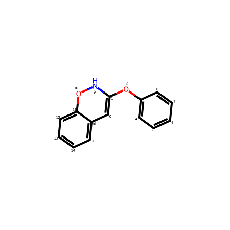 C1=C(Oc2ccccc2)NOc2ccccc21